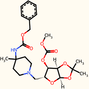 COC(=O)O[C@H]1[C@H]2OC(C)(C)O[C@H]2O[C@@H]1CN1CCC(C)(NC(=O)OCc2ccccc2)CC1